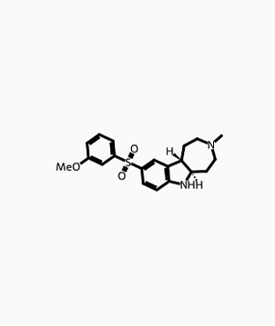 COc1cccc(S(=O)(=O)c2ccc3c(c2)[C@@H]2CCN(C)CC[C@H]2N3)c1